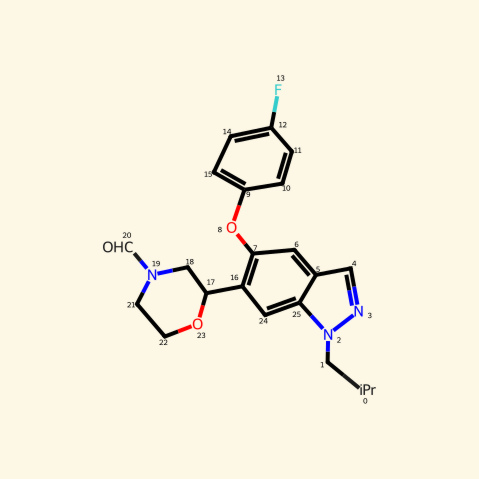 CC(C)Cn1ncc2cc(Oc3ccc(F)cc3)c(C3CN(C=O)CCO3)cc21